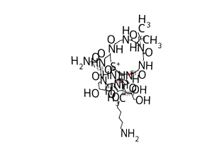 CC[C@H](C)[C@@H]1NC(=O)CNC(=O)[C@H]2Cc3c([nH]c4cc(OCCCCCCN)ccc34)[S@+]([O-])CC(NC(=O)CNC1=O)C(=O)N[C@@H](CC(N)=O)C(=O)N1CC(O)C[C@H]1C(=O)N[C@@H]([C@@H](C)[C@@H](O)CO)C(=O)N2